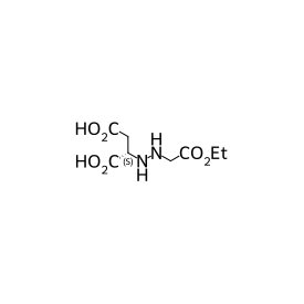 CCOC(=O)CNN[C@@H](CC(=O)O)C(=O)O